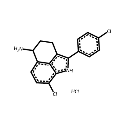 Cl.NC1CCc2c(-c3ccc(Cl)cc3)[nH]c3c(Cl)ccc1c23